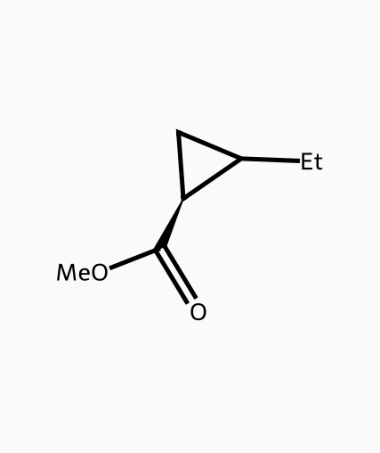 CCC1C[C@@H]1C(=O)OC